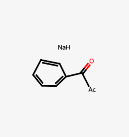 CC(=O)C(=O)c1ccccc1.[NaH]